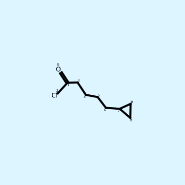 O=C(Cl)CCCCC1CC1